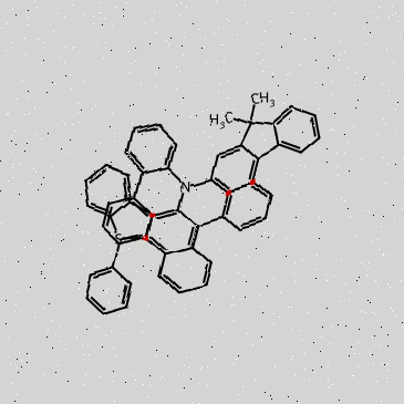 CC1(C)c2ccccc2-c2ccc(N(c3ccccc3-c3ccc(-c4ccccc4)cc3)c3c(-c4ccccc4)c4ccccc4c4sc5ccccc5c34)cc21